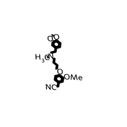 COc1cc(CC#N)ccc1OCCCCN(C)CCc1ccc2c(c1)OCO2